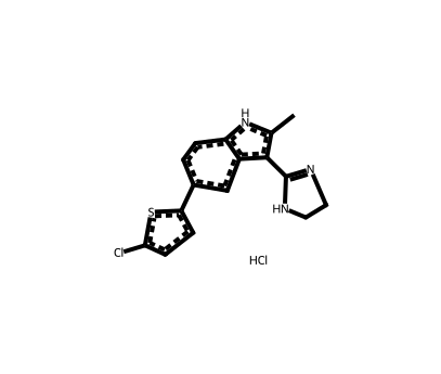 Cc1[nH]c2ccc(-c3ccc(Cl)s3)cc2c1C1=NCCN1.Cl